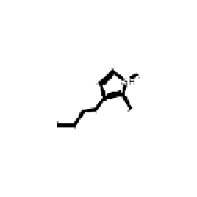 CCCCC1=C(C)[SiH](C)C=C1